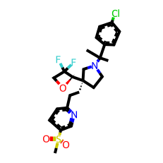 CC(C)(c1ccc(Cl)cc1)N1CC[C@@](CCc2ccc(S(C)(=O)=O)cn2)([C@H]2OCC2(F)F)C1